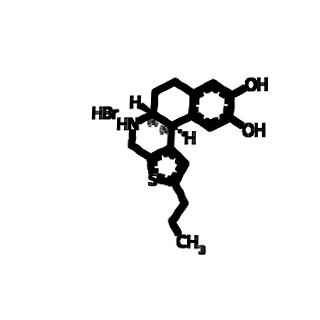 Br.CCCc1cc2c(s1)CN[C@@H]1CCc3cc(O)c(O)cc3[C@@H]21